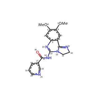 COc1cc2c(cc1OC)C1=NCCN1C(NC(=O)c1cccnc1)=N2